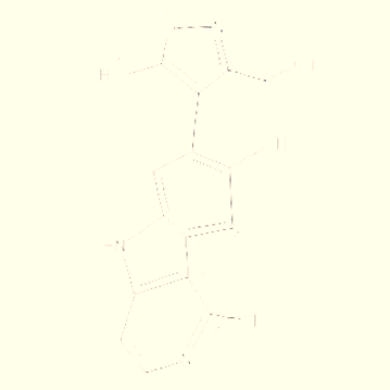 CCc1noc(C)c1-c1cc2[nH]c3ccnc(Cl)c3c2cc1C